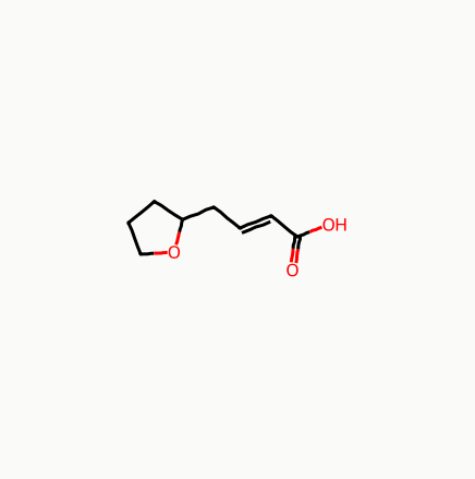 O=C(O)C=CCC1CCCO1